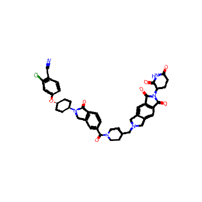 N#Cc1ccc(O[C@H]2CC[C@H](N3Cc4cc(C(=O)N5CCC(CN6Cc7cc8c(cc7C6)C(=O)N(C6CCC(=O)NC6=O)C8=O)CC5)ccc4C3=O)CC2)cc1Cl